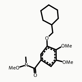 COc1cc(C(=O)N(C)OC)cc(OCC2CCCCC2)c1OC